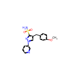 COc1ccc(Cc2cn(-c3cccnc3)nc2S(N)(=O)=O)cc1